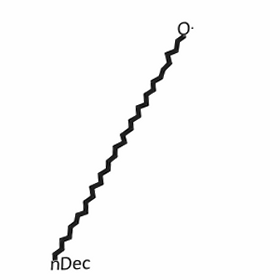 CCCCCCCCCCCCCCCCCCCCCCCCCCCCCCCCCCCCCCCCCCCC[O]